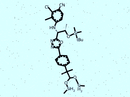 C[SiH2]OC(O[SiH2]C)C(C)(C)c1ccc(-c2nnc([C@H](Nc3ccc(C#N)c(Cl)c3C)[C@H](C)O[Si](C)(C)C(C)(C)C)o2)cc1